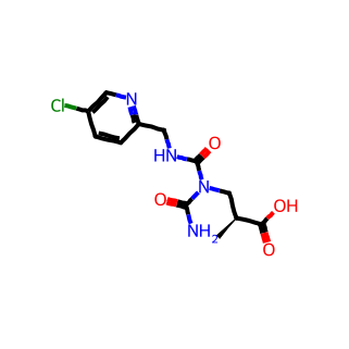 C[C@@H](CN(C(N)=O)C(=O)NCc1ccc(Cl)cn1)C(=O)O